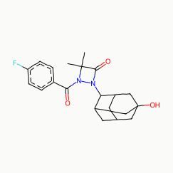 CC1(C)C(=O)N(C2C3CC4CC2CC(O)(C4)C3)N1C(=O)c1ccc(F)cc1